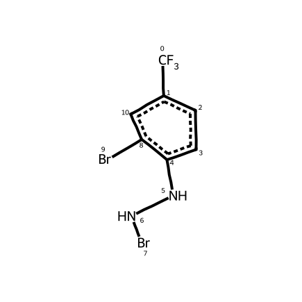 FC(F)(F)c1ccc(NNBr)c(Br)c1